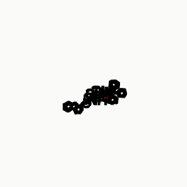 O=C(CC[C@@H](NC(=O)OCc1cccc2c1Cc1ccccc1-2)C(=O)O)NC(c1ccccc1)(c1ccccc1)c1ccccc1